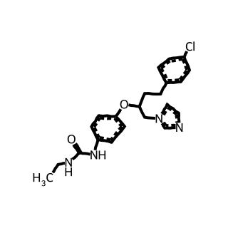 CCNC(=O)Nc1ccc(OC(CCc2ccc(Cl)cc2)Cn2ccnc2)cc1